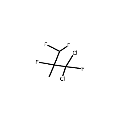 CC(F)(C(F)F)C(F)(Cl)Cl